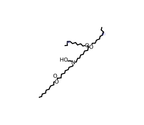 CC/C=C\CCCCCOC(CCCCCCCN(CCO)CCCCCCCC(=O)OCCCCCCCCC)OCCCCC/C=C\CC